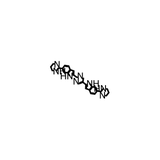 c1cc2cc(-c3cnc(-c4cc5ccc(C6=NCCCN6)cc5[nH]4)nc3)[nH]c2cc1C1=NCCCN1